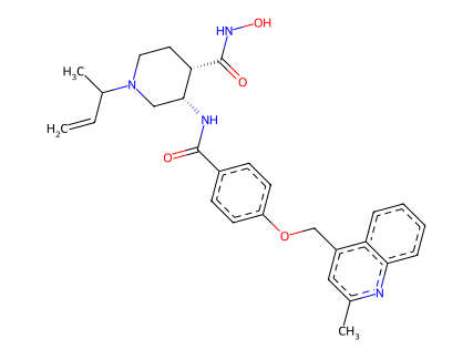 C=CC(C)N1CC[C@H](C(=O)NO)[C@H](NC(=O)c2ccc(OCc3cc(C)nc4ccccc34)cc2)C1